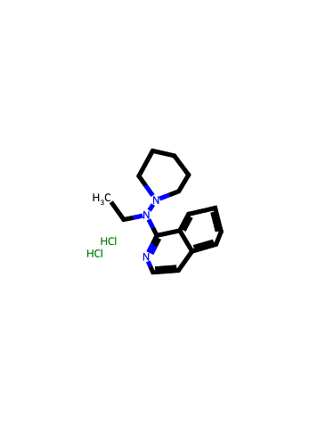 CCN(c1nccc2ccccc12)N1CCCCC1.Cl.Cl